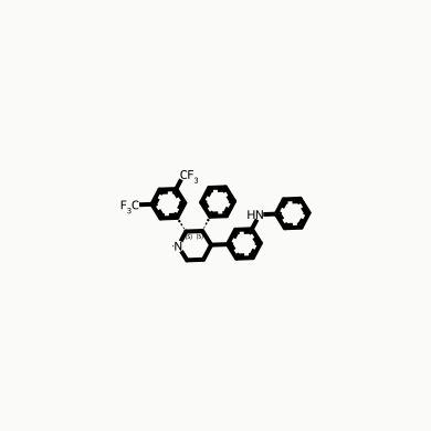 FC(F)(F)c1cc([C@H]2[N]CCC(c3cccc(Nc4ccccc4)c3)[C@H]2c2ccccc2)cc(C(F)(F)F)c1